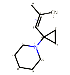 C/C(C#N)=C/C1(N2CCCCC2)CC1